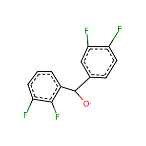 [O]C(c1ccc(F)c(F)c1)c1cccc(F)c1F